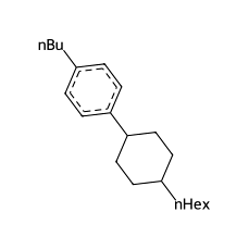 CCCCCCC1CCC(c2ccc(CCCC)cc2)CC1